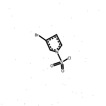 O=S(=O)(Cl)n1ccc(Br)c1